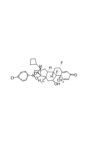 C[C@]12C=CC(=O)C=C1[C@@H](F)C[C@H]1[C@@H]3C[C@H]4CN(c5ccc(Cl)cc5)O[C@@]4(C(=O)SC4CCC4)[C@@]3(C)C[C@H](O)[C@@]12F